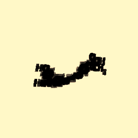 CO[C@@H](Cc1ccc(OCCCOc2ccc(C(NO)c3ccc(O)cc3)cc2)cc1)C(=O)O